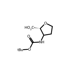 CC(C)(C)OC(=O)NC1CCO[C@H]1C(=O)O